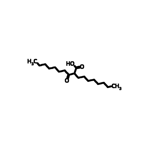 CCCCCCCCC(C(=O)O)C(=O)CCCCCCC